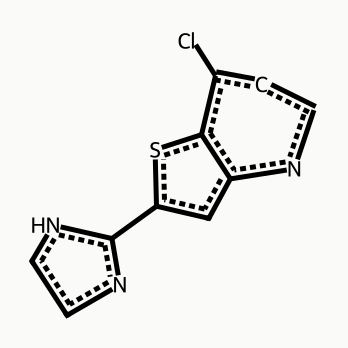 Clc1ccnc2cc(-c3ncc[nH]3)sc12